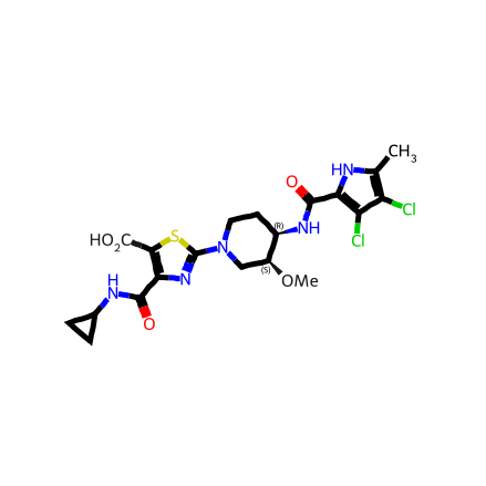 CO[C@H]1CN(c2nc(C(=O)NC3CC3)c(C(=O)O)s2)CC[C@H]1NC(=O)c1[nH]c(C)c(Cl)c1Cl